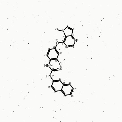 Cn1ccc2ncnc(Oc3ccc(NC(=O)Nc4ccc5ccccc5c4)c(Cl)c3)c21